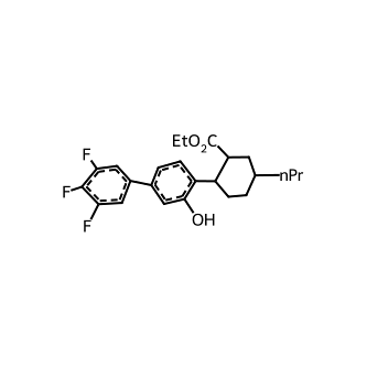 CCCC1CCC(c2ccc(-c3cc(F)c(F)c(F)c3)cc2O)C(C(=O)OCC)C1